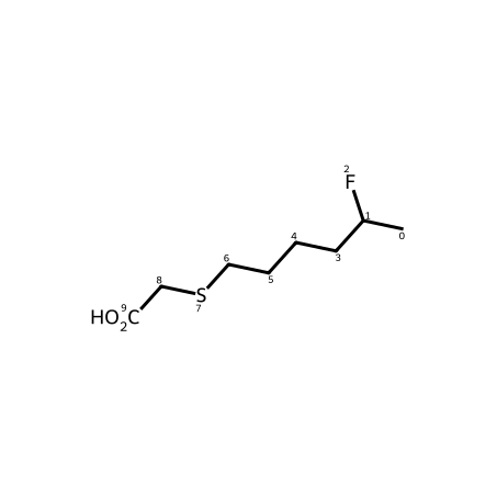 CC(F)CCCCSCC(=O)O